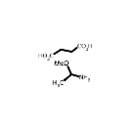 COC(C)N.O=C(O)CCC(=O)O